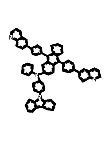 c1ccc(N(c2ccc(-n3c4ccccc4c4ccccc43)cc2)c2ccc3c(-c4ccc(-c5ccc6ncccc6c5)cc4)c4ccccc4c(-c4ccc(-c5ccc6ncccc6c5)cc4)c3c2)cc1